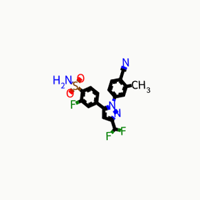 Cc1cc(-n2nc(C(F)F)cc2-c2ccc(S(N)(=O)=O)c(F)c2)ccc1C#N